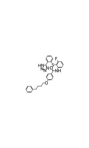 O=C(Nc1cccc(F)c1Sc1ccccc1-c1nnn[nH]1)c1ccc(OCCCCc2ccccc2)cc1